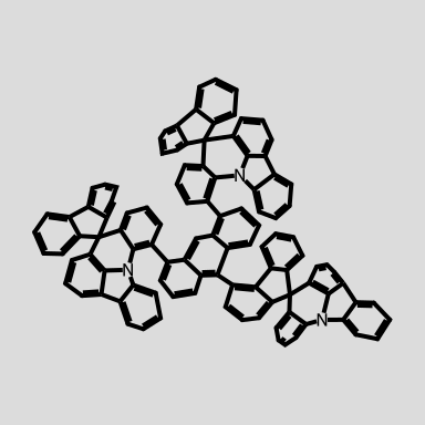 c1ccc2c(c1)-c1c(-c3c4cccc(-c5cccc6c5-n5c7ccccc7c7cccc(c75)C65c6ccccc6-c6ccccc65)c4cc4c(-c5cccc6c5-n5c7ccccc7c7cccc(c75)C65c6ccccc6-c6ccccc65)cccc34)cccc1C21c2ccccc2-n2c3ccccc3c3cccc1c32